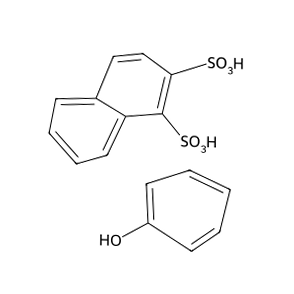 O=S(=O)(O)c1ccc2ccccc2c1S(=O)(=O)O.Oc1ccccc1